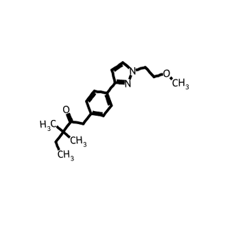 CCC(C)(C)C(=O)Cc1ccc(-c2ccn(CCOC)n2)cc1